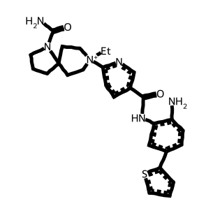 CC[N+]1(c2ccc(C(=O)Nc3cc(-c4cccs4)ccc3N)cn2)CCC2(CCCN2C(N)=O)CC1